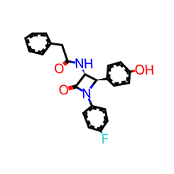 O=C(Cc1ccccc1)N[C@H]1C(=O)N(c2ccc(F)cc2)[C@@H]1c1ccc(O)cc1